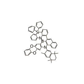 Cc1cc2c(cc1N1c3cc4c(cc3B3c5c(cc6ccccc6c51)-c1cccc5c1N3c1ccccc1[Si]5(c1ccccc1)c1ccccc1)Oc1ccccc1O4)C(C)(C)CCC2(C)C